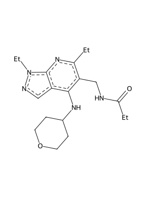 CCC(=O)NCc1c(CC)nc2c(cnn2CC)c1NC1CCOCC1